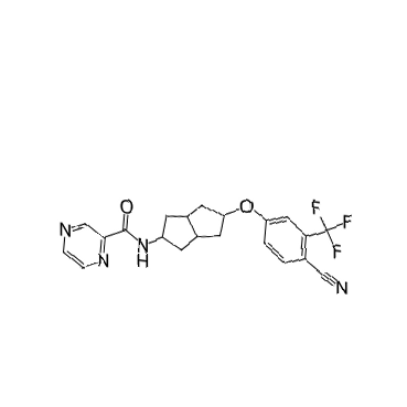 N#Cc1ccc(OC2CC3CC(NC(=O)c4cnccn4)CC3C2)cc1C(F)(F)F